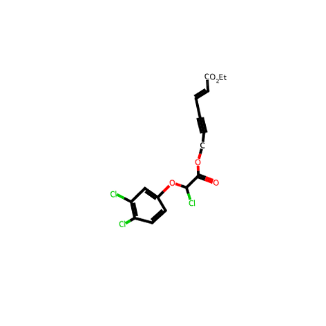 CCOC(=O)C=CC#CCOC(=O)C(Cl)Oc1ccc(Cl)c(Cl)c1